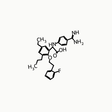 CCCc1cc(CC)cc([C@@H](Nc2ccc(C(=N)N)cc2)C(=O)O)c1OCCc1ccccc1F